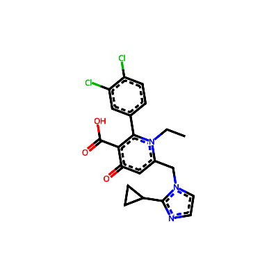 CCn1c(Cn2ccnc2C2CC2)cc(=O)c(C(=O)O)c1-c1ccc(Cl)c(Cl)c1